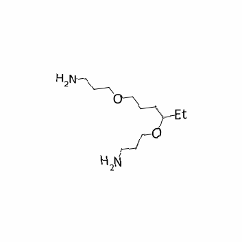 CCC(CCCOCCCN)OCCCN